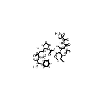 CC[C@H](C)[C@@H]([C@@H](CC(=O)N1CCC[C@H]1[C@H](OC)[C@@H](C)C(=O)N[C@H](C)[C@@H](O)c1ccccc1)OC)N(C)[C@H](C(=O)NC(=O)C(C)(C)N)C(C)C